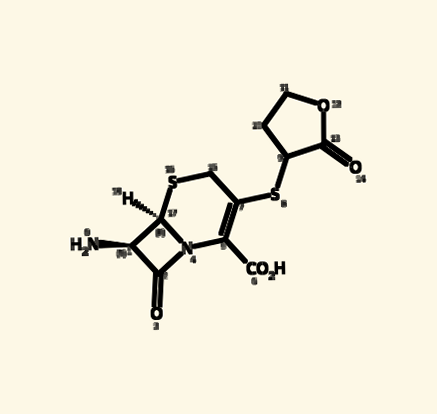 N[C@@H]1C(=O)N2C(C(=O)O)=C(SC3CCOC3=O)CS[C@H]12